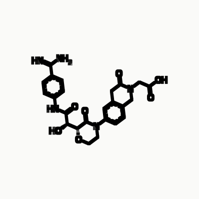 N=C(N)c1ccc(NC(=O)[C@H](O)[C@H]2OCCN(c3ccc4c(c3)CC(=O)N(CC(=O)O)C4)C2=O)cc1